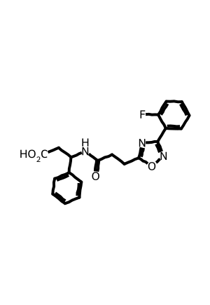 O=C(O)CC(NC(=O)CCc1nc(-c2ccccc2F)no1)c1ccccc1